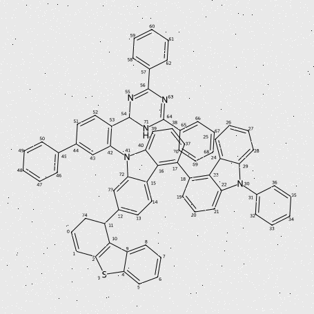 C1=Cc2sc3ccccc3c2C(c2ccc3c4c(-c5cccc6c5c5ccccc5n6-c5ccccc5)cccc4n(-c4cc(-c5ccccc5)ccc4C4N=C(c5ccccc5)N=C(c5ccccc5)N4)c3c2)C1